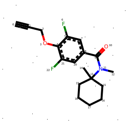 C#CCOc1c(F)cc(C(=O)N(C)C2(C)CCCCC2)cc1F